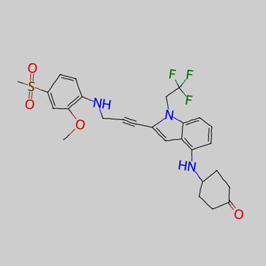 COc1cc(S(C)(=O)=O)ccc1NCC#Cc1cc2c(NC3CCC(=O)CC3)cccc2n1CC(F)(F)F